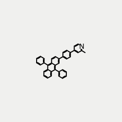 Cc1cc(-c2ccc(-c3ccc4c(-c5ccccc5)c5ccccc5c(-c5ccccc5)c4c3)cc2)ccn1